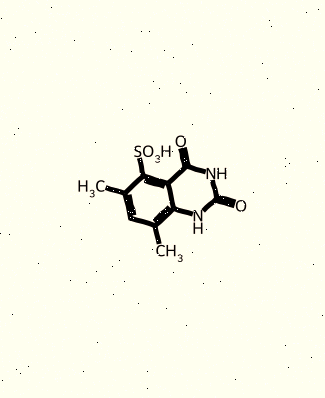 Cc1cc(C)c2[nH]c(=O)[nH]c(=O)c2c1S(=O)(=O)O